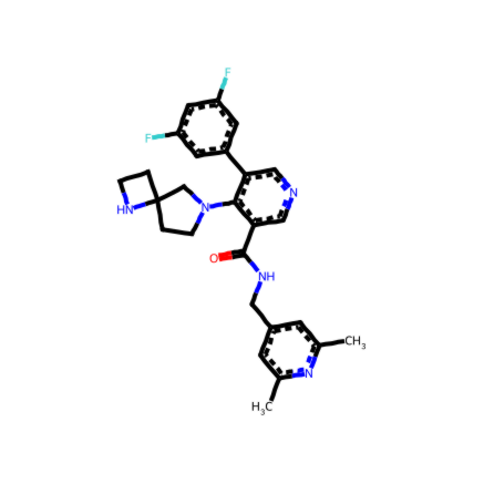 Cc1cc(CNC(=O)c2cncc(-c3cc(F)cc(F)c3)c2N2CCC3(CCN3)C2)cc(C)n1